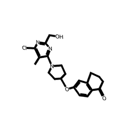 Cc1c(Cl)nc(CO)nc1N1CCC(Oc2ccc3c(c2)CCCC3=O)CC1